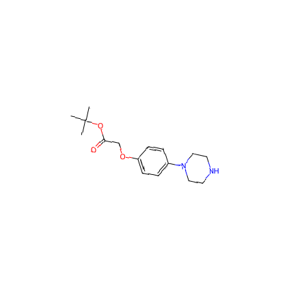 CC(C)(C)OC(=O)COc1ccc(N2CCNCC2)cc1